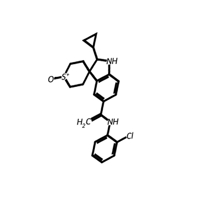 C=C(Nc1ccccc1Cl)c1ccc2c(c1)C1(CC[S+]([O-])CC1)C(C1CC1)N2